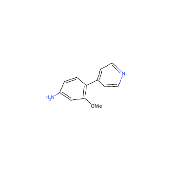 COc1cc(N)ccc1-c1ccncc1